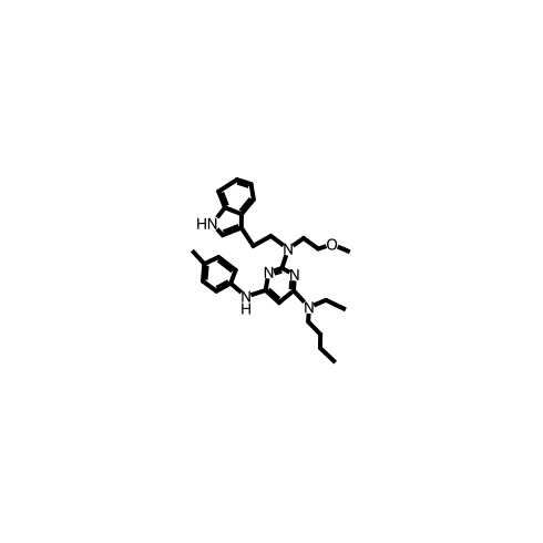 CCCCN(CC)c1cc(Nc2ccc(C)cc2)nc(N(CCOC)CCc2c[nH]c3ccccc23)n1